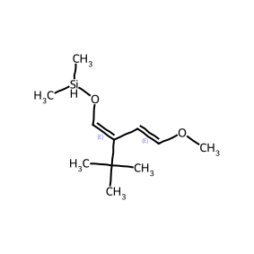 CO/C=C/C(=C\O[SiH](C)C)C(C)(C)C